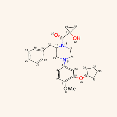 COc1ccc(N2CCN(C(=O)C3(O)CC3)C(Cc3ccccc3)C2)cc1OC1CCCC1